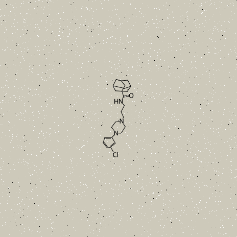 O=C(NCCCN1CCN(c2cccc(Cl)c2)CC1)C12CC3CC(CC(C3)C1)C2